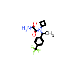 CC(c1ccc(C(F)(F)F)cc1)N(C(=O)C(N)=O)C1CCC1